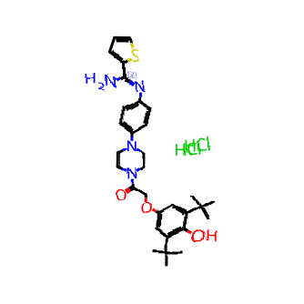 CC(C)(C)c1cc(OCC(=O)N2CCN(c3ccc(/N=C(\N)c4cccs4)cc3)CC2)cc(C(C)(C)C)c1O.Cl.Cl